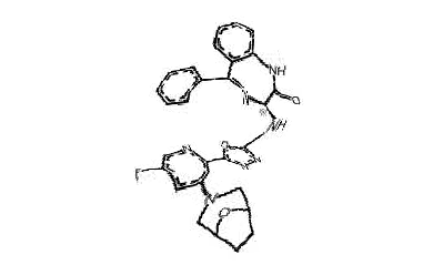 O=C1Nc2ccccc2C(c2ccccc2)=N[C@@H]1Nc1nnc(-c2ncc(F)cc2N2CC3CCC(C2)O3)o1